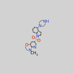 CN1CCOc2cc(S(=O)(=O)n3ccc4c(N5CCNCC5)cccc43)cnc21